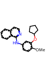 COc1ccc(Nc2nccc3ccccc23)cc1OC1CCCC1